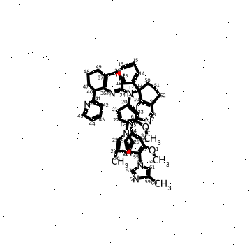 COc1cc(Nc2ncc3c(n2)C(c2cccnc2)(N(c2ccc(-n4cnc(C)c4)c(OC)c2)c2ncc4c(n2)C(c2ccccn2)CCC4)CCC3)ccc1-n1cnc(C)c1